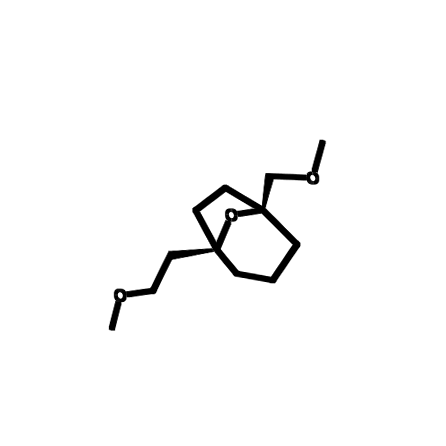 COCC[C@@]12CCC[C@@](COC)(CC1)O2